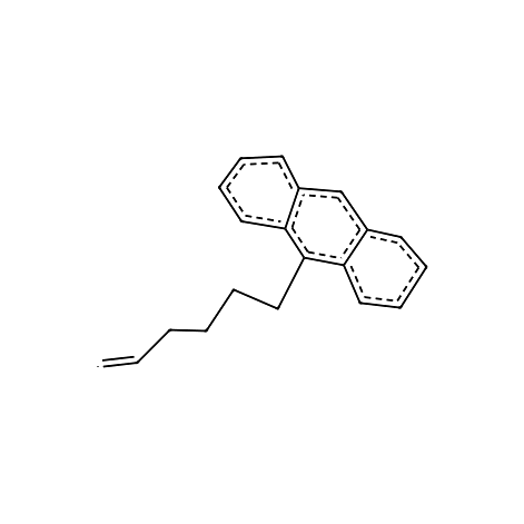 [CH]=CCCCCc1c2ccccc2cc2ccccc12